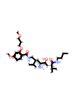 CCCCNC(=O)[C@@H](C[C@H](O)[C@@H](N)C[C@H](CNC(=O)c1ccc(OC)cc1OCCCOC)C(C)C)C(C)C